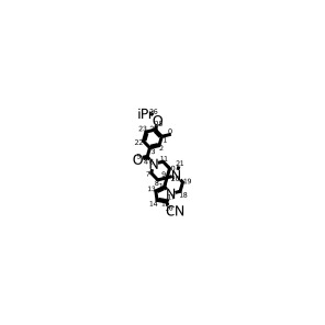 Cc1cc(C(=O)N2CCC3(CC2)c2ccc(C#N)n2CCN3C)ccc1OC(C)C